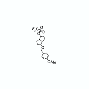 COc1ccc(COC2CCC3C(OS(=O)(=O)C(F)(F)F)=CCC23)cc1